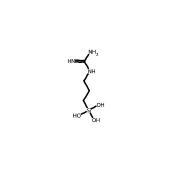 N=C(N)NCCC[Si](O)(O)O